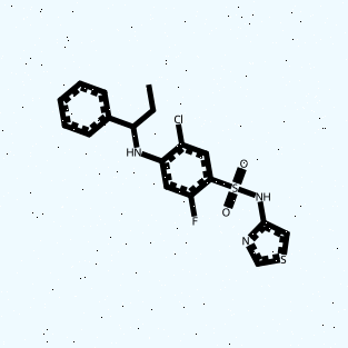 CCC(Nc1cc(F)c(S(=O)(=O)Nc2cscn2)cc1Cl)c1ccccc1